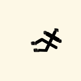 CCS(=O)(=O)C(C)(CC(C)(C)C)CC(C)(C)C